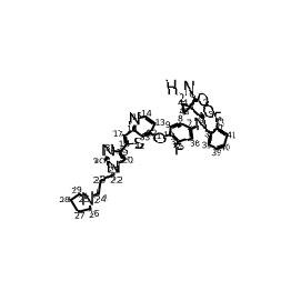 NC(=O)C1(C(=O)N(c2ccc(Oc3ccnc4cc(-c5cn(CCCN6CCCC6)cn5)sc34)c(F)c2)c2ccccc2F)CC1